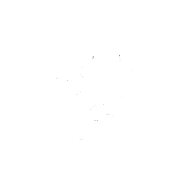 N#Cc1ccc2c(=O)n3c(nc2c1)O[C@@H]1C[C@@H](C(=O)O)N(C1)C(=O)[C@H](C1CCCC1)NC(=O)O[C@@H]1CCC[C@H]1CCC=CC3